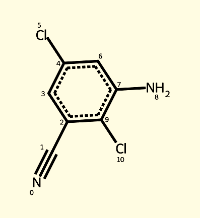 N#Cc1cc(Cl)cc(N)c1Cl